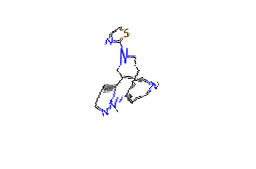 C[N+]1(c2ccncc2)N=CC=C1C1=CCCN(c2nccs2)C1